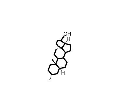 C[C@@H]1CC[C@]2(C)C3CC[C@]45CCCC(O)[C@H]4CCC5C3CC[C@H]2C1